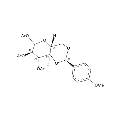 COc1ccc([C@@H]2OC[C@H]3OC(OC(C)=O)[C@H](OC(C)=O)[C@@H](OC(C)=O)[C@@H]3O2)cc1